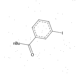 CCCCC(=O)c1cccc(I)c1